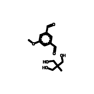 CC(CO)(CO)CO.COc1cc(C=O)cc(C=O)c1